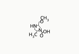 COCC1CN(C(=O)O)C(C)CN1